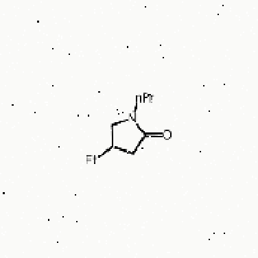 CCCN1CC(CC)CC1=O